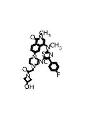 CN(c1nc(-c2ccc(F)cc2)c(C#N)s1)c1cn(C)c(=O)c2ccc(N3CCN(CC(=O)N4CC(O)C4)CC3)cc12